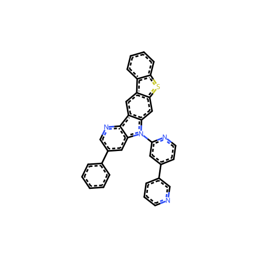 c1ccc(-c2cnc3c4cc5c(cc4n(-c4cc(-c6cccnc6)ccn4)c3c2)sc2ccccc25)cc1